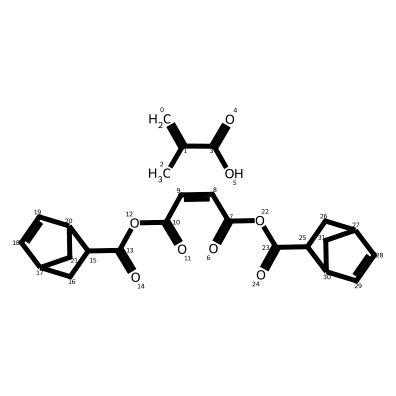 C=C(C)C(=O)O.O=C(/C=C\C(=O)OC(=O)C1CC2C=CC1C2)OC(=O)C1CC2C=CC1C2